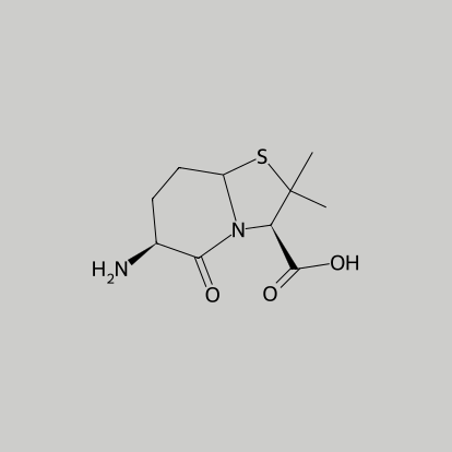 CC1(C)SC2CC[C@H](N)C(=O)N2[C@@H]1C(=O)O